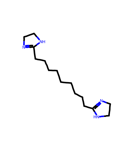 C(CCCCC1=NCCN1)CCCCC1=NCCN1